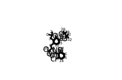 CC1(C)Cc2c(CC(NC(=O)c3c(Cl)cccc3Cl)C(=O)O)ccc(B3OC(C)(C)C(C)(C)O3)c2O1